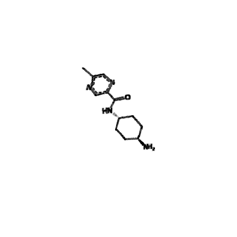 Cc1cnc(C(=O)N[C@H]2CC[C@H](N)CC2)cn1